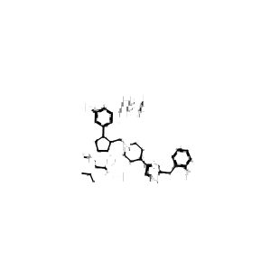 CC(C)[C@H](C(=O)O)N(C)C1CC(CN2CCC(c3cnc(Cc4ccccc4F)s3)CC2)C(c2cccc(F)c2)C1.Cl.Cl.Cl